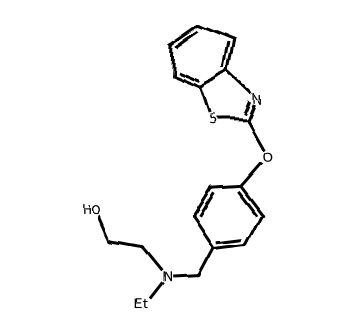 CCN(CCO)Cc1ccc(Oc2nc3ccccc3s2)cc1